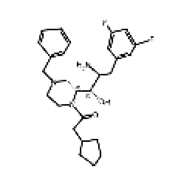 NC(Cc1cc(F)cc(F)c1)[C@H](O)[C@H]1CN(Cc2ccccc2)CCN1C(=O)CC1CCCC1